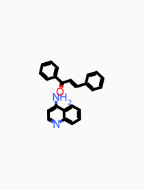 Nc1ccnc2ccccc12.O=C(C=Cc1ccccc1)c1ccccc1